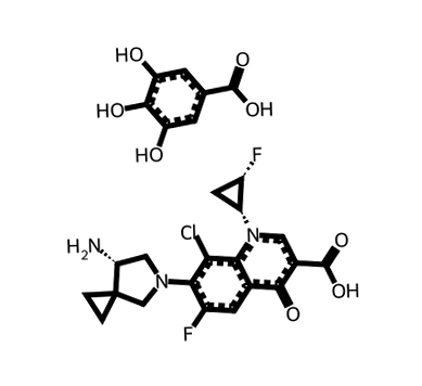 N[C@@H]1CN(c2c(F)cc3c(=O)c(C(=O)O)cn([C@@H]4C[C@@H]4F)c3c2Cl)CC12CC2.O=C(O)c1cc(O)c(O)c(O)c1